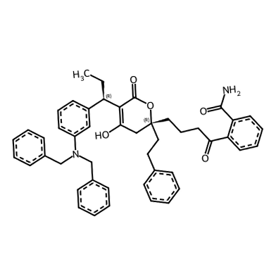 CC[C@@H](C1=C(O)C[C@@](CCCC(=O)c2ccccc2C(N)=O)(CCc2ccccc2)OC1=O)c1cccc(N(Cc2ccccc2)Cc2ccccc2)c1